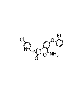 CCc1ccccc1Oc1ccc(C2CC(=O)N(Cc3ccc(Cl)cn3)C2)c(C(N)=O)c1